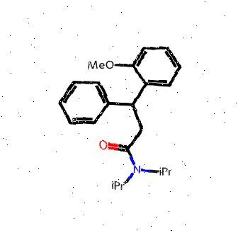 COc1ccccc1C(CC(=O)N(C(C)C)C(C)C)c1ccccc1